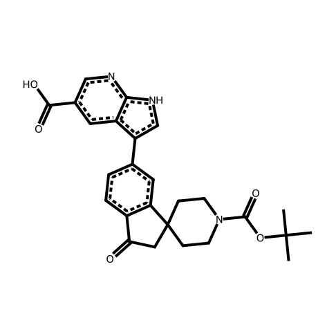 CC(C)(C)OC(=O)N1CCC2(CC1)CC(=O)c1ccc(-c3c[nH]c4ncc(C(=O)O)cc34)cc12